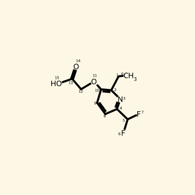 CCc1nc(C(F)F)ccc1OCC(=O)O